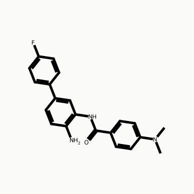 CN(C)c1ccc(C(=O)Nc2cc(-c3ccc(F)cc3)ccc2N)cc1